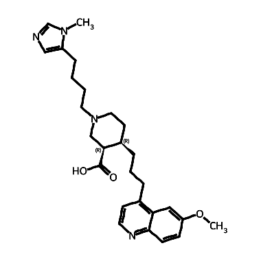 COc1ccc2nccc(CCC[C@@H]3CCN(CCCCc4cncn4C)C[C@@H]3C(=O)O)c2c1